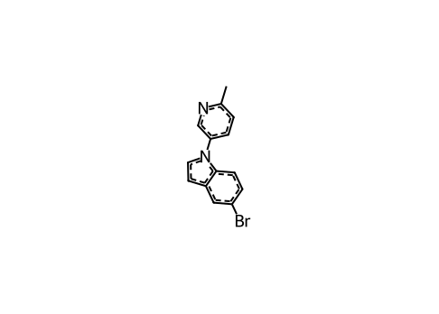 Cc1ccc(-n2ccc3cc(Br)ccc32)cn1